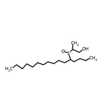 CCCCCCCCCCCC(CCCC)[S+]([O-])C(C)CO